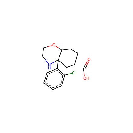 Clc1ccccc1C12CCCCC1OCCN2.O=CO